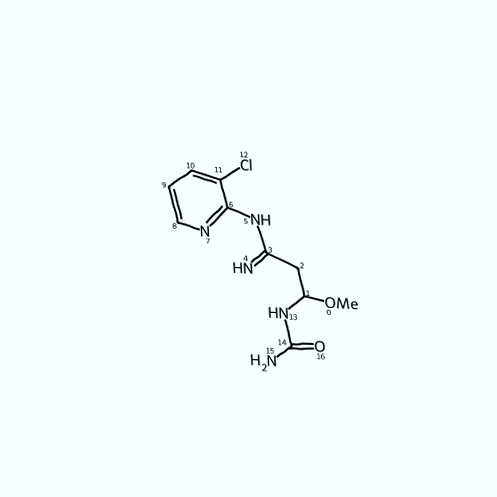 COC(CC(=N)Nc1ncccc1Cl)NC(N)=O